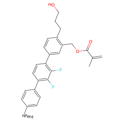 C=C(C)C(=O)OCc1cc(-c2ccc(-c3ccc(CCCCC)cc3)c(F)c2F)ccc1CCCO